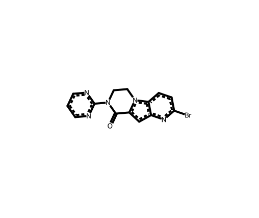 O=C1c2cc3nc(Br)ccc3n2CCN1c1ncccn1